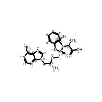 CC(C)N([C@@H](C)C(=O)O)[P@](=O)(CO[C@H](C)Cn1cnc2c(N)ncnc21)Oc1ccccc1